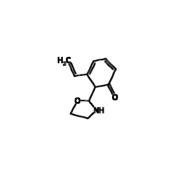 C=CC1=CC=CC(=O)C1C1NCCO1